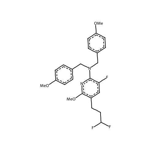 COc1ccc(CN(Cc2ccc(OC)cc2)c2nc(OC)c(CCC(F)F)cc2F)cc1